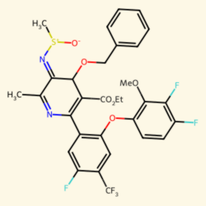 CCOC(=O)C1=C(c2cc(F)c(C(F)(F)F)cc2Oc2ccc(F)c(F)c2OC)N=C(C)C(=N[S+](C)[O-])C1OCc1ccccc1